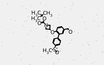 C[S+]([O-])c1ccc(-c2cc(C=O)ccc2OC2CN(C(=O)OC(C)(C)C)C2)cc1